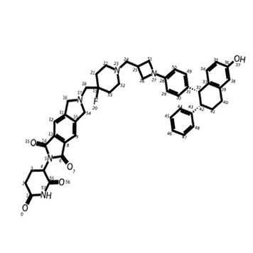 O=C1CCC(N2C(=O)c3cc4c(cc3C2=O)CN(CC2(F)CCN(CC3CN(c5ccc([C@@H]6c7ccc(O)cc7CC[C@@H]6c6ccccc6)cc5)C3)CC2)C4)C(=O)N1